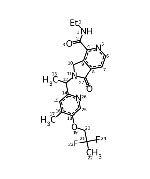 CCNC(=O)c1nccc2c1CN(C(C)c1cc(C)c(OCC(C)(F)F)cn1)C2=O